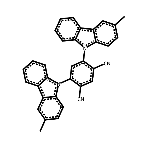 Cc1ccc2c(c1)c1ccccc1n2-c1cc(-n2c3ccccc3c3cc(C)ccc32)c(C#N)cc1C#N